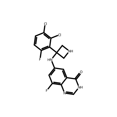 O=c1[nH]cnc2c(F)cc(NC3(c4c(F)ccc(Cl)c4Cl)CNC3)cc12